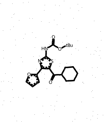 CC(C)(C)OC(=O)Nc1nc(-c2ccco2)c(C(=O)C2CCCCC2)s1